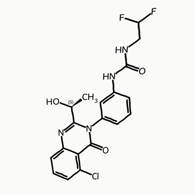 C[C@H](O)c1nc2cccc(Cl)c2c(=O)n1-c1cccc(NC(=O)NCC(F)F)c1